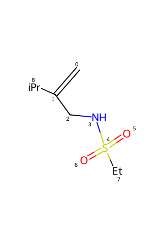 C=C(CNS(=O)(=O)CC)C(C)C